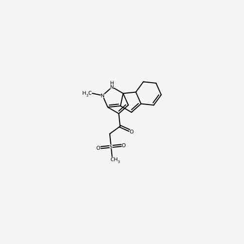 CN1NC23C=C(C(=O)CS(C)(=O)=O)C1=C2C=C1C=CCCC13